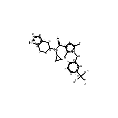 Cc1cc(C(=O)N(C2CC2)C2CCc3[nH]ncc3C2)c(C)n1Cc1cccc(C(F)(F)F)c1